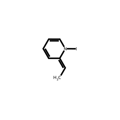 CC=C1C=CC=CN1I